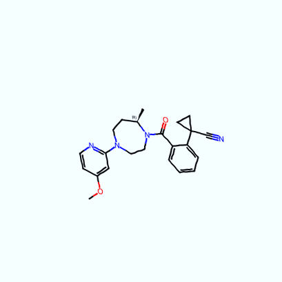 COc1ccnc(N2CC[C@@H](C)N(C(=O)c3ccccc3C3(C#N)CC3)CC2)c1